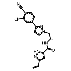 C=Cc1cc(C(=O)N[C@@H](C)Cn2ccc(-c3ccc(C#N)c(Cl)c3)n2)[nH]n1